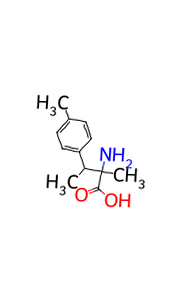 Cc1ccc(C(C)C(C)(N)C(=O)O)cc1